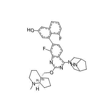 CN1CCC[C@@]2(COc3nc(N4CC5CCC(C4)N5)c4ccc(-c5cc(O)cc6cccc(F)c56)c(F)c4n3)CCC[C@@H]12